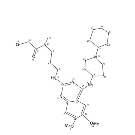 COc1cc2nc(NCCCN(C)C(=O)CCl)nc(NC3CCN(C4CCCCC4)CC3)c2cc1OC